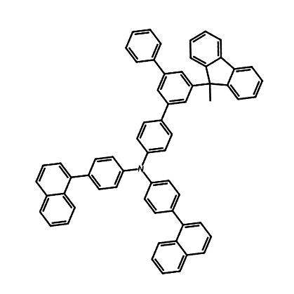 CC1(c2cc(-c3ccccc3)cc(-c3ccc(N(c4ccc(-c5cccc6ccccc56)cc4)c4ccc(-c5cccc6ccccc56)cc4)cc3)c2)c2ccccc2-c2ccccc21